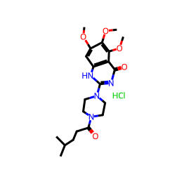 COc1cc2[nH]c(N3CCN(C(=O)CCC(C)C)CC3)nc(=O)c2c(OC)c1OC.Cl